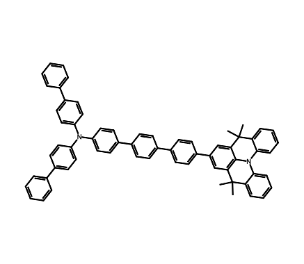 CC1(C)c2ccccc2N2c3ccccc3C(C)(C)c3cc(-c4ccc(-c5ccc(-c6ccc(N(c7ccc(-c8ccccc8)cc7)c7ccc(-c8ccccc8)cc7)cc6)cc5)cc4)cc1c32